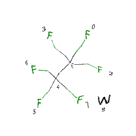 FC(F)(F)C(F)(F)F.[W]